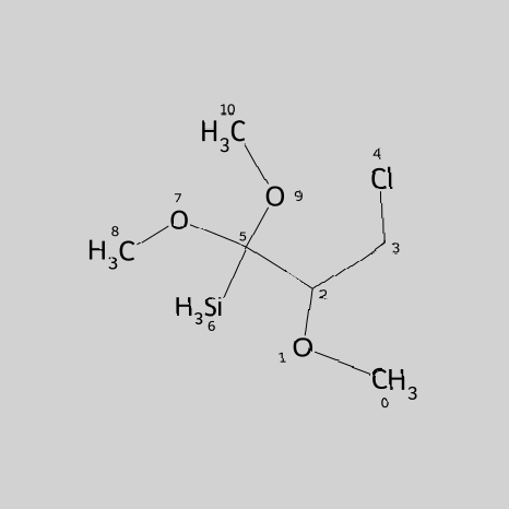 COC(CCl)C([SiH3])(OC)OC